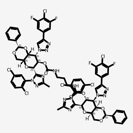 Cc1nc([C@@H]2O[C@@H]3CO[C@H](c4ccccc4)O[C@@H]3[C@H](n3cc(-c4cc(F)c(Cl)c(F)c4)nn3)[C@H]2OC(=O)NCCCNC(=O)O[C@@H]2[C@@H](n3cc(-c4cc(F)c(Cl)c(F)c4)nn3)[C@H]3O[C@@H](c4ccccc4)OC[C@H]3O[C@H]2c2nc(C)nn2-c2cc(Cl)ccc2Cl)n(-c2cc(Cl)ccc2Cl)n1